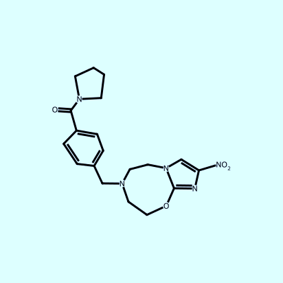 O=C(c1ccc(CN2CCOc3nc([N+](=O)[O-])cn3CC2)cc1)N1CCCC1